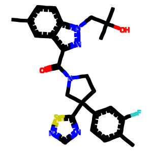 Cc1ccc2c(c1)c(C(=O)N1CCC(c3ccc(C)c(F)c3)(c3ncns3)C1)nn2CC(C)(C)O